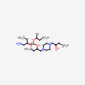 CCC(CS(=O)(=O)O)O[SiH](OC(CN)CS(=O)(=O)O)OC(CN1CCN(CC(O)CS(=O)(=O)O)CC1)CS(=O)(=O)O